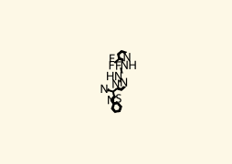 N#CC(c1ccnc(NCCNc2ncccc2C(F)(F)F)n1)c1nc2ccccc2s1